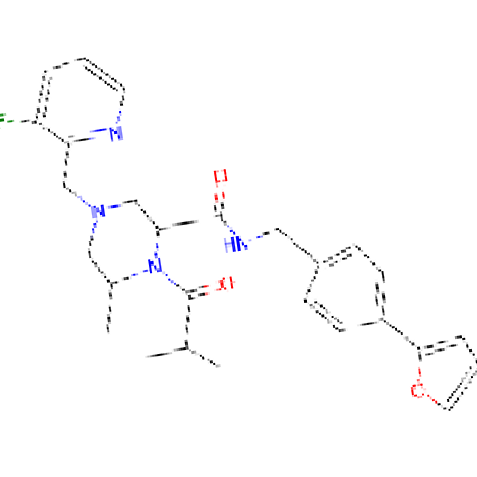 CC(C)C(=O)N1C(C)CN(Cc2ncccc2F)CC1C(=O)NCc1ccc(-c2ccco2)cc1